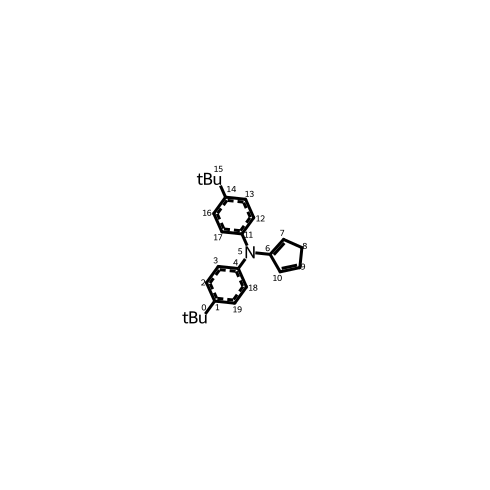 CC(C)(C)c1ccc(N(C2=CCC=C2)c2ccc(C(C)(C)C)cc2)cc1